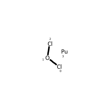 ClOCl.[Pu]